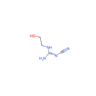 N#CN=C(N)NCCO